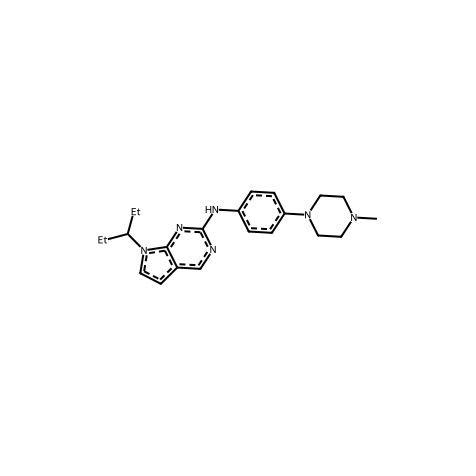 CCC(CC)n1ccc2cnc(Nc3ccc(N4CCN(C)CC4)cc3)nc21